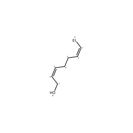 CC/C=C\CC/C=C\CO